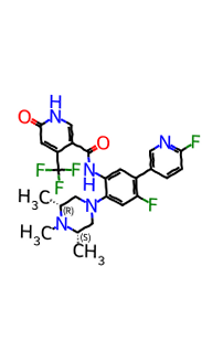 C[C@@H]1CN(c2cc(F)c(-c3ccc(F)nc3)cc2NC(=O)c2c[nH]c(=O)cc2C(F)(F)F)C[C@H](C)N1C